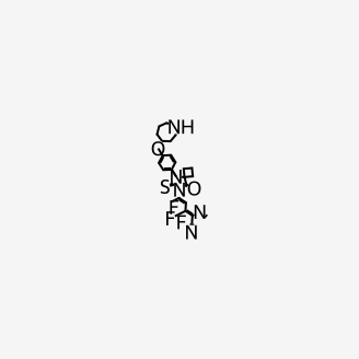 C=N/C(C#N)=C(\C=C(/C)N1C(=O)C2(CCC2)N(c2ccc(OC3CCCNCC3)cc2)C1=S)C(F)(F)F